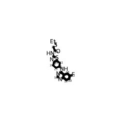 CCSCC(=O)Nc1nc2c(s1)CC(Nc1ncnc3ccc(F)cc13)CC2